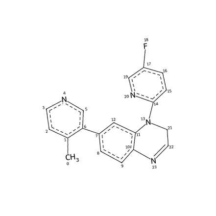 Cc1ccncc1-c1ccc2c(c1)N(c1ccc(F)cn1)CC=N2